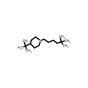 CC(C)(C)CCCCN1CCC(C(C)(C)C)CC1